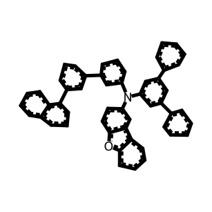 c1ccc(-c2cc(-c3ccccc3)cc(N(c3cccc(-c4cccc(-c5cccc6ccccc56)c4)c3)c3ccc4oc5ccccc5c4c3)c2)cc1